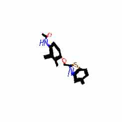 CC(=O)Nc1ccc(OCc2nc3cc(C)ccc3s2)c(C)c1C